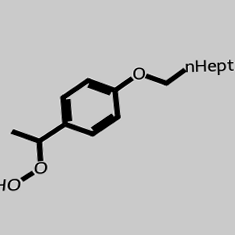 CCCCCCCCOc1ccc(C(C)OO)cc1